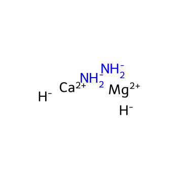 [Ca+2].[H-].[H-].[Mg+2].[NH2-].[NH2-]